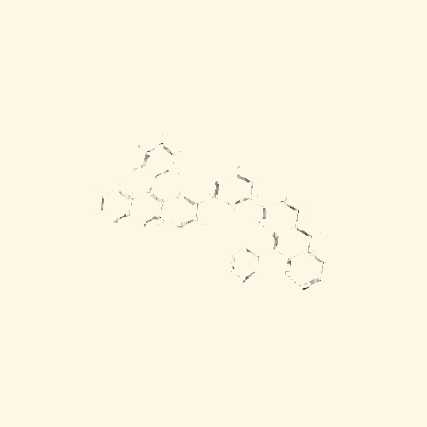 c1ccc(-c2c3ccccc3cc3ccc(-c4cccc(-c5ccc6cc7ccccc7c(-c7ccccc7)c6n5)n4)nc23)cc1